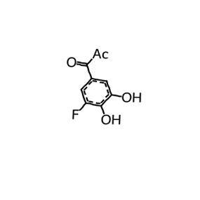 CC(=O)C(=O)c1cc(O)c(O)c(F)c1